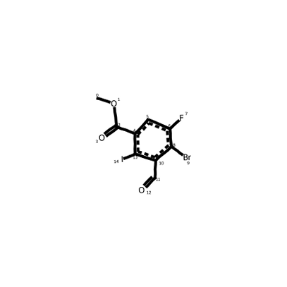 COC(=O)c1cc(F)c(Br)c(C=O)c1I